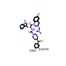 COc1ccc(C(=O)C2CCN(C(=O)N[C@H](Cc3c[nH]c4ccccc34)C(=O)N3C[C@H](CN(C)C)Cc4cc(Cl)ccc43)CC2)cc1OC